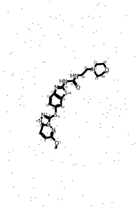 COc1ccc2nnc(Sc3ccc4nc(NC(=O)NCCN5CCOCC5)sc4c3)n2n1